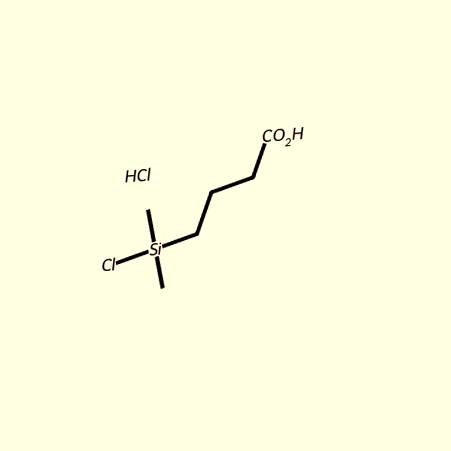 C[Si](C)(Cl)CCCC(=O)O.Cl